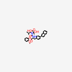 COc1ccccc1OC(=O)C(Cc1ccc(-c2ccc3ccccc3c2)cc1)NC(=O)N(CC(C)C)C(C)(O)C(=O)O